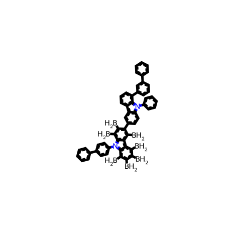 Bc1c(B)c(B)c2c(c1B)c1c(B)c(-c3ccc4c(c3)c3cccc(-c5cccc(-c6ccccc6)c5)c3n4-c3ccccc3)c(B)c(B)c1n2-c1ccc(-c2ccccc2)cc1